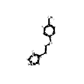 Cc1ccc(OCCc2c[nH]cn2)cc1